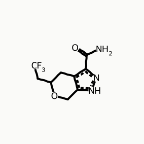 NC(=O)c1n[nH]c2c1CC(CC(F)(F)F)OC2